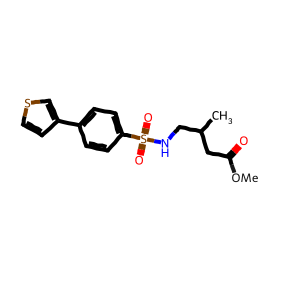 COC(=O)CC(C)CNS(=O)(=O)c1ccc(-c2ccsc2)cc1